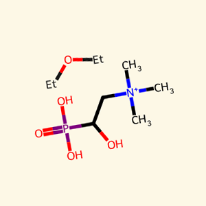 CCOCC.C[N+](C)(C)CC(O)P(=O)(O)O